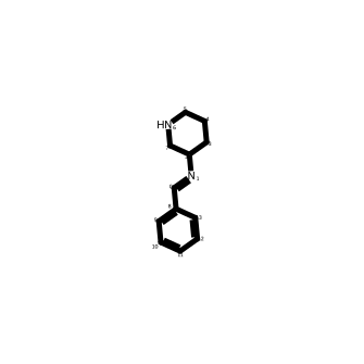 C(=NC1CCCNC1)c1ccccc1